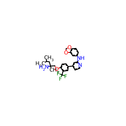 CC(C)CC(C)(N)COc1ccc(-c2ccnc(Nc3ccc4c(c3)OCO4)c2)cc1C(F)(F)F